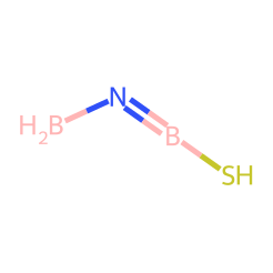 BN=BS